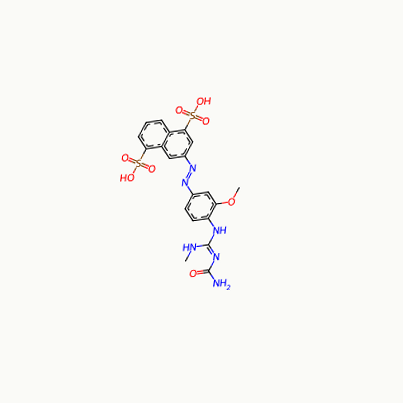 CN/C(=N\C(N)=O)Nc1ccc(N=Nc2cc(S(=O)(=O)O)c3cccc(S(=O)(=O)O)c3c2)cc1OC